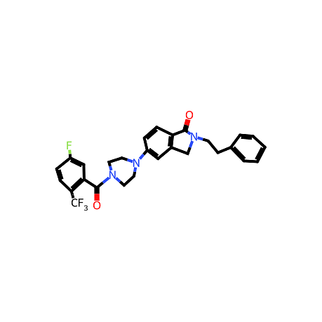 O=C1c2ccc(N3CCN(C(=O)c4cc(F)ccc4C(F)(F)F)CC3)cc2CN1CCc1ccccc1